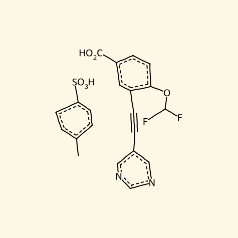 Cc1ccc(S(=O)(=O)O)cc1.O=C(O)c1ccc(OC(F)F)c(C#Cc2cncnc2)c1